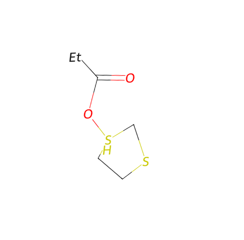 CCC(=O)O[SH]1CCSC1